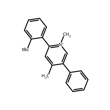 Cc1cc(-c2ccccc2C(C)(C)C)[n+](C)cc1-c1ccccc1